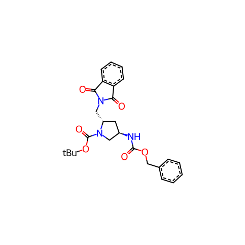 CC(C)(C)OC(=O)N1C[C@H](NC(=O)OCc2ccccc2)C[C@H]1CN1C(=O)c2ccccc2C1=O